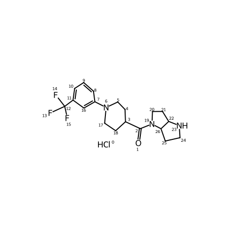 Cl.O=C(C1CCN(c2cccc(C(F)(F)F)c2)CC1)N1CCC2NCCC21